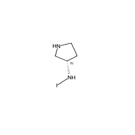 IN[C@H]1CCNC1